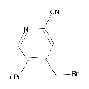 CCCc1cnc(C#N)cc1CBr